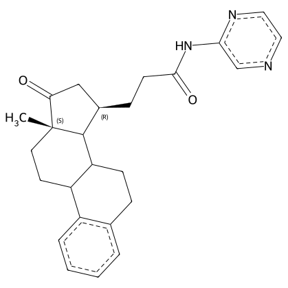 C[C@]12CCC3c4ccccc4CCC3C1[C@H](CCC(=O)Nc1cnccn1)CC2=O